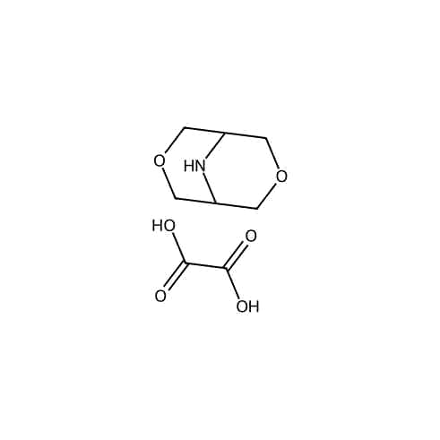 C1OCC2COCC1N2.O=C(O)C(=O)O